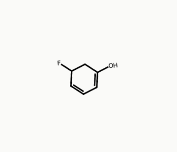 OC1=CC=CC(F)C1